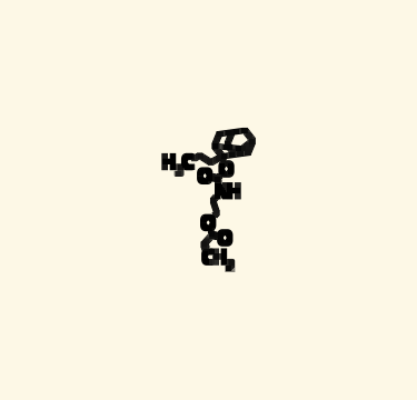 C=CC(=O)OCCNC(=O)OC1(CCC)C2CC3CC(C2)CC1C3